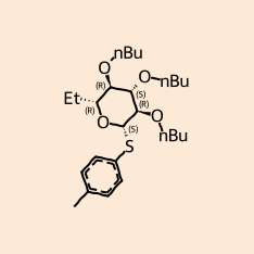 CCCCO[C@@H]1[C@@H](OCCCC)[C@H](Sc2ccc(C)cc2)O[C@H](CC)[C@H]1OCCCC